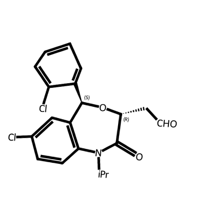 CC(C)N1C(=O)[C@@H](CC=O)O[C@H](c2ccccc2Cl)c2cc(Cl)ccc21